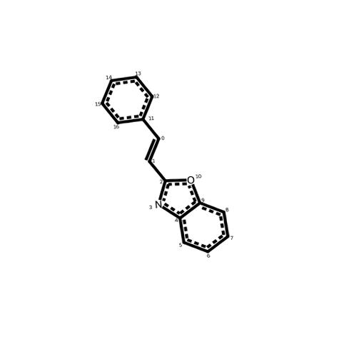 C(=Cc1nc2ccccc2o1)c1ccccc1